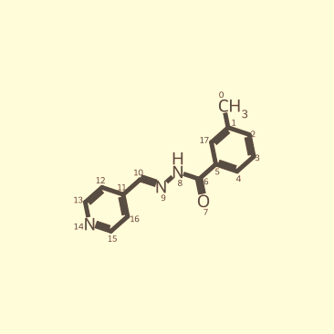 Cc1cccc(C(=O)NN=Cc2ccncc2)c1